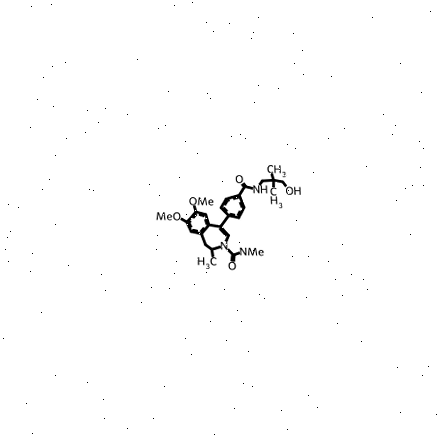 CNC(=O)N1C=C(c2ccc(C(=O)NCC(C)(C)CO)cc2)c2cc(OC)c(OC)cc2CC1C